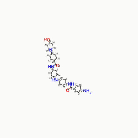 Nc1ccc(C(=O)Nc2ccc(Nc3ccc(NC(=O)c4ccc(N5CCC(O)CC5)cc4)cc3)cc2)cc1